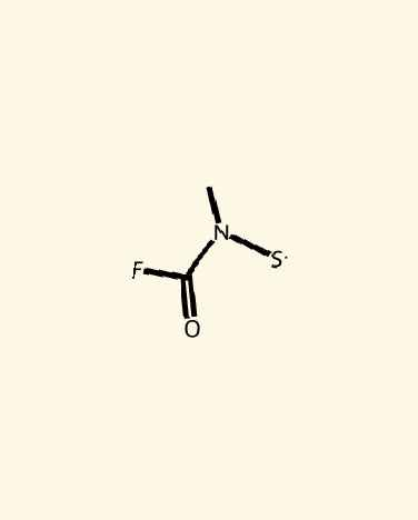 CN([S])C(=O)F